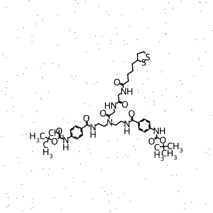 CC(C)(C)OC(=O)Nc1ccc(C(=O)NCCN(CCNC(=O)c2ccc(NC(=O)OC(C)(C)C)cc2)C(=O)CNC(=O)CNC(=O)CCCCC2CCSS2)cc1